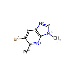 CC(C)c1nc2c(cc1Br)ncn2C